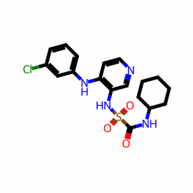 O=C(NC1CCCCC1)S(=O)(=O)Nc1cnccc1Nc1cccc(Cl)c1